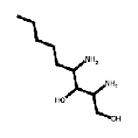 CCCCCC(N)C(O)C(N)CO